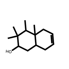 CC1C(C)(C)C(O)CC2CC=CCC21C